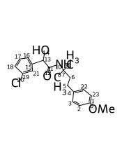 COc1ccc(CCC(C)(C)NC(=O)C(O)c2cccc(Cl)c2)cc1